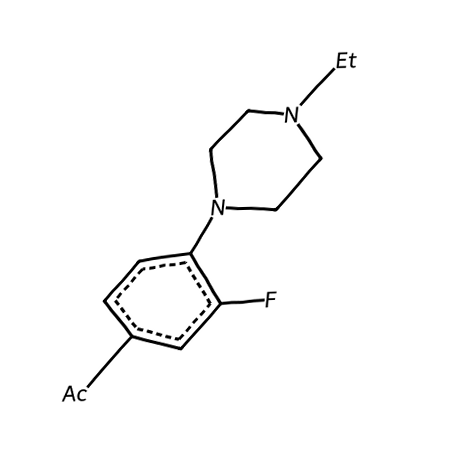 CCN1CCN(c2ccc(C(C)=O)cc2F)CC1